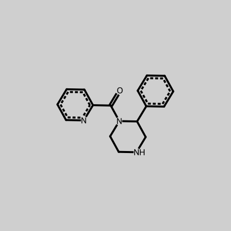 O=C(c1ccccn1)N1CCNCC1c1ccccc1